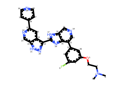 CN(C)CCOc1cc(F)cc(-c2cncc3[nH]c(-c4n[nH]c5cnc(-c6ccncc6)cc45)nc23)c1